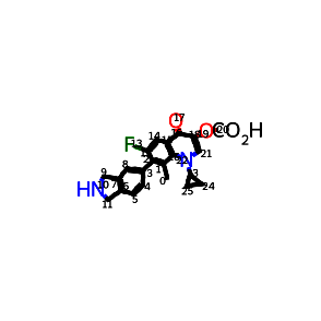 Cc1c(-c2ccc3c(c2)CNC3)c(F)cc2c(=O)c(OC(=O)O)cn(C3CC3)c12